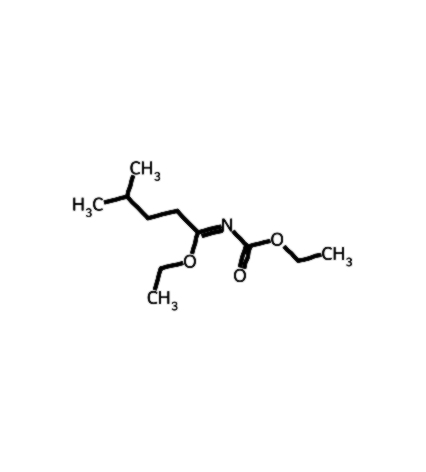 CCOC(=O)N=C(CCC(C)C)OCC